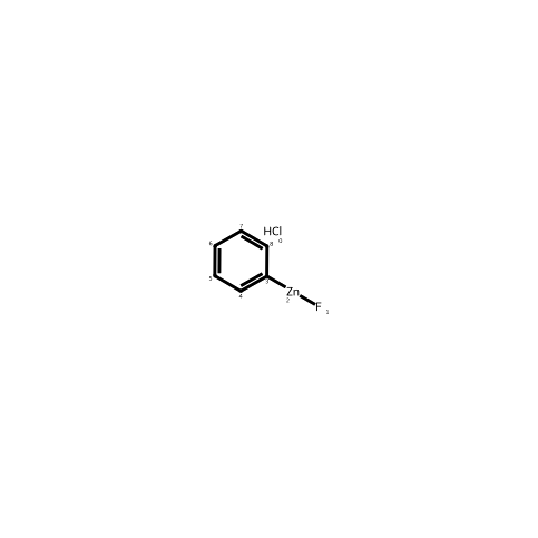 Cl.[F][Zn][c]1ccccc1